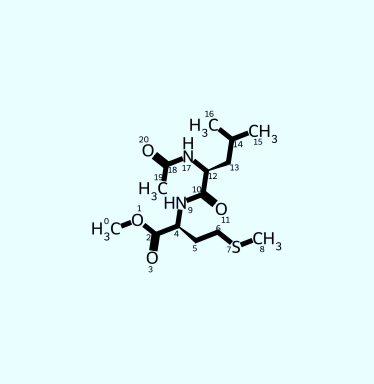 COC(=O)[C@H](CCSC)NC(=O)[C@H](CC(C)C)NC(C)=O